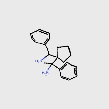 CC(N)(c1ccccc1)C1(C(N)c2ccccc2)CCCC1